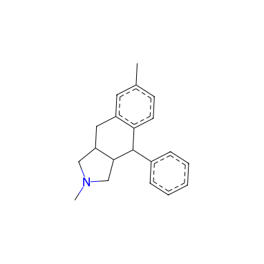 Cc1ccc2c(c1)CC1CN(C)CC1C2c1ccccc1